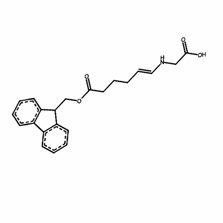 O=C(O)CNC=CCCCC(=O)OCC1c2ccccc2-c2ccccc21